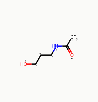 O=C(NCCCO)C(F)(F)F